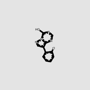 Oc1ncnc2c(-c3ccccc3Cl)cnn12